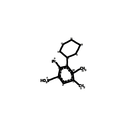 Cc1cc(S(=O)(=O)O)c(C(C)C)c(C2CCCCC2)c1C